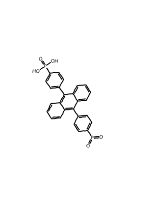 O=P(=O)c1ccc(-c2c3ccccc3c(-c3ccc(P(=O)(O)O)cc3)c3ccccc23)cc1